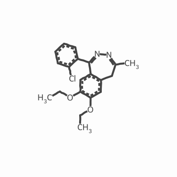 CCOc1cc2c(cc1OCC)C(c1ccccc1Cl)=NN=C(C)C2